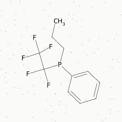 CCCP(c1ccccc1)C(F)(F)C(F)(F)F